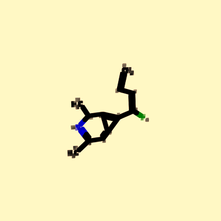 C=C/C=C(/F)C1=C2C1=CC(C)=NC2C